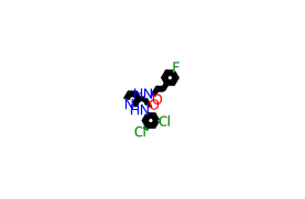 O=C(/C=C/c1ccc(F)cc1)NC(C(=O)Nc1cc(Cl)cc(Cl)c1)c1cccnc1